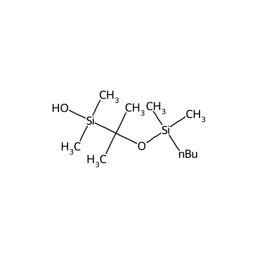 CCCC[Si](C)(C)OC(C)(C)[Si](C)(C)O